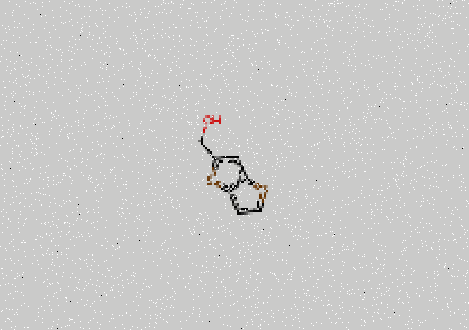 OCc1cc2sccc2s1